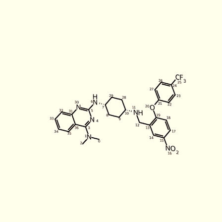 CN(C)c1nc(N[C@H]2CC[C@@H](NCc3cc([N+](=O)[O-])ccc3Oc3ccc(C(F)(F)F)cc3)CC2)nc2ccccc12